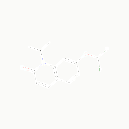 CC(C)n1c(=O)ccc2ccc(OC(F)F)cc21